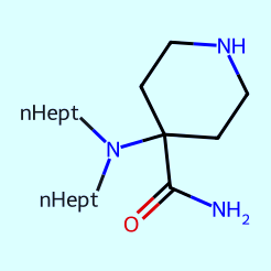 CCCCCCCN(CCCCCCC)C1(C(N)=O)CCNCC1